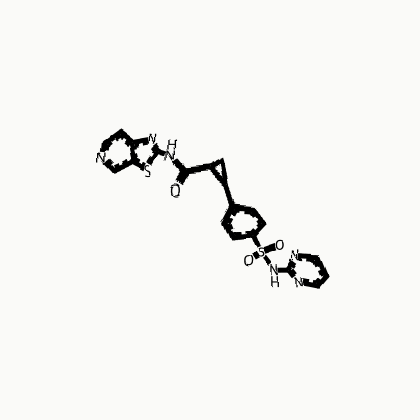 O=C(Nc1nc2ccncc2s1)C1CC1c1ccc(S(=O)(=O)Nc2ncccn2)cc1